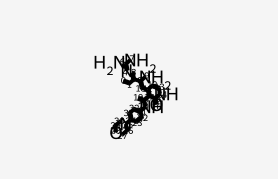 C=CC(=C\N=C(N)N)/C(N)=C/c1cc[nH]c(=O)c1C(=C)Nc1ccc(N2CCOCC2)cc1